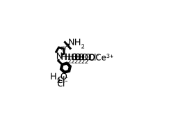 CC(C)(N)[C@H]1CCN(Cc2ccccc2)C1.O.O.O.O.O.O.O.[Ce+3].[Cl-].[Cl-].[Cl-]